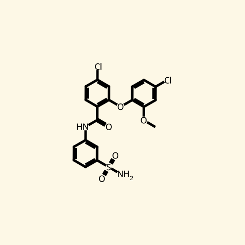 COc1cc(Cl)ccc1Oc1cc(Cl)ccc1C(=O)Nc1cccc(S(N)(=O)=O)c1